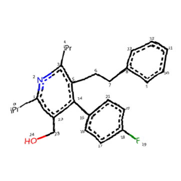 CC(C)c1nc(C(C)C)c(CCc2ccccc2)c(-c2ccc(F)cc2)c1CO